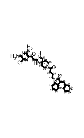 Nc1nc(N)c(C(=O)/C=C2\NCC3(CCN(C(=O)CCCN4C(=O)C(Cc5cccnc5)c5ccccc54)CC3)N2)nc1Cl